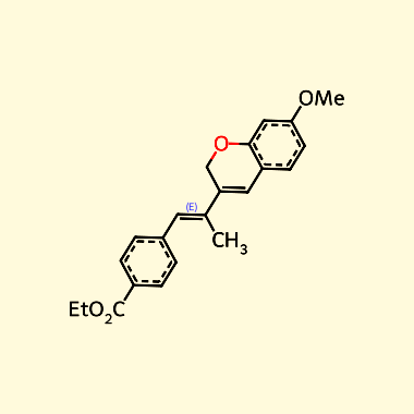 CCOC(=O)c1ccc(/C=C(\C)C2=Cc3ccc(OC)cc3OC2)cc1